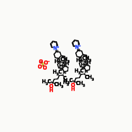 CC(CCCC(C)(C)O)[C@H]1CC[C@H]2[C@@H]3CC=C4C[C@@H]([n+]5ccccc5)CC[C@]4(C)[C@H]3CC[C@]12C.CC(CCCC(C)(C)O)[C@H]1CC[C@H]2[C@@H]3CC=C4C[C@@H]([n+]5ccccc5)CC[C@]4(C)[C@H]3CC[C@]12C.O=S(=O)([O-])[O-]